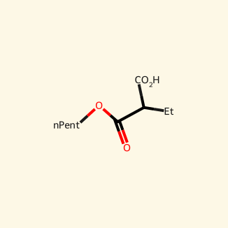 CCCCCOC(=O)C(CC)C(=O)O